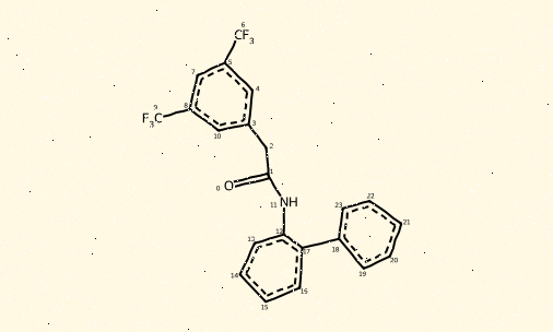 O=C(Cc1cc(C(F)(F)F)cc(C(F)(F)F)c1)Nc1ccccc1-c1ccccc1